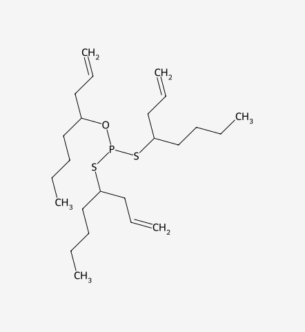 C=CCC(CCCC)OP(SC(CC=C)CCCC)SC(CC=C)CCCC